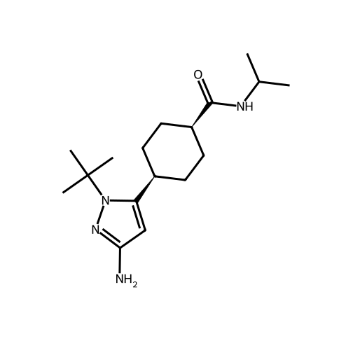 CC(C)NC(=O)[C@H]1CC[C@@H](c2cc(N)nn2C(C)(C)C)CC1